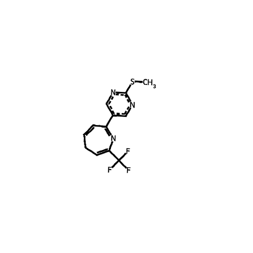 CSc1ncc(C2=NC(C(F)(F)F)=CCC=C2)cn1